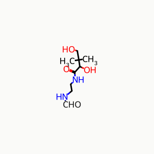 CC(C)(CO)C(O)C(=O)NCCNC=O